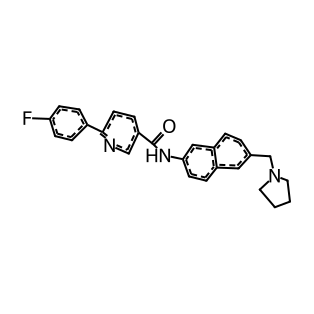 O=C(Nc1ccc2cc(CN3CCCC3)ccc2c1)c1ccc(-c2ccc(F)cc2)nc1